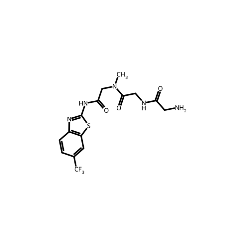 CN(CC(=O)Nc1nc2ccc(C(F)(F)F)cc2s1)C(=O)CNC(=O)CN